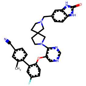 Cc1cc(C#N)ccc1-c1cc(F)ccc1Oc1cncnc1N1CCC2(CCN(Cc3ccc4[nH]c(=O)[nH]c4c3)C2)C1